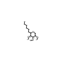 [CH2]CCCCCC1OCC(OC)C(OC)C1OC